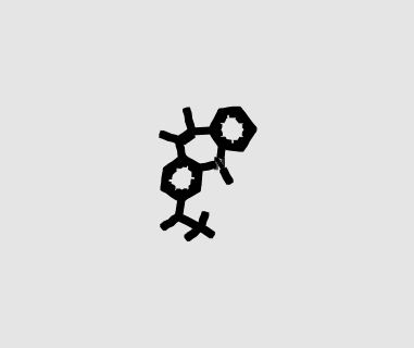 CC1=C(C)c2ccc(C(C)C(C)(C)C)cc2N(C)c2ccccc21